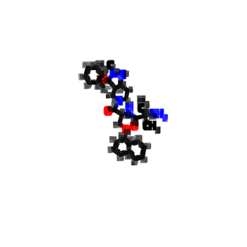 CN1N=C2CCN(C(=O)C(COc3cccc4ccccc34)NC(=O)C(C)(C)N)C[C@@]2(Cc2ccccc2)C1=O